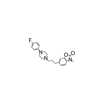 Cn1c(=O)oc2cc(CCCN3CCN(c4ccc(F)cc4)CC3)ccc21